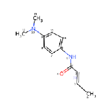 C/C=C/C(=O)Nc1ccc(N(C)C)cc1